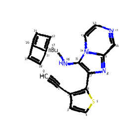 C#Cc1ccsc1-c1nc2cnccn2c1NCCCC.c1cc2ccc1-2